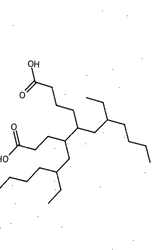 CCCCC(CC)CC(CCCC(=O)O)C(CCC(=O)O)CC(CC)CCCC